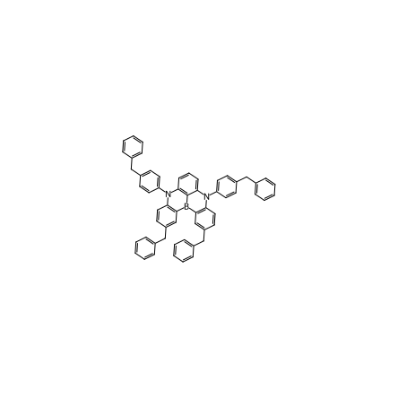 c1ccc(Cc2ccc(N3c4ccc(Cc5ccccc5)cc4B4c5cc(Cc6ccccc6)ccc5N(c5ccc(Cc6ccccc6)cc5)c5cccc3c54)cc2)cc1